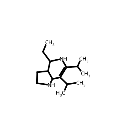 CCC1NC(C(C)C)=C(C(C)C)C2NCCC12